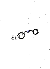 CCN1CCCN(C/C=C/c2ccccc2)CC1